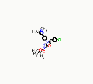 Cc1cc(C2CCC(N3C[C@H](CNC(=O)OC(C)(C)C)OC[C@@H]3Cc3ccc(Cl)cc3)CC2)nn1C